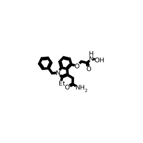 CCc1c(CC(N)=O)c2c(OCC(=O)NO)cccc2n1Cc1ccccc1